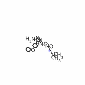 CN(C)C/C=C/C(=O)N1CCC(Nc2ncnc(N)c2-c2ccc(Oc3ccccc3)cc2)C1